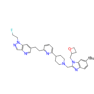 CC(C)(C)c1ccc2nc(CN3CCC(c4cccc(CCc5cnc6cnn(CCF)c6c5)n4)CC3)n(CC3CCO3)c2c1